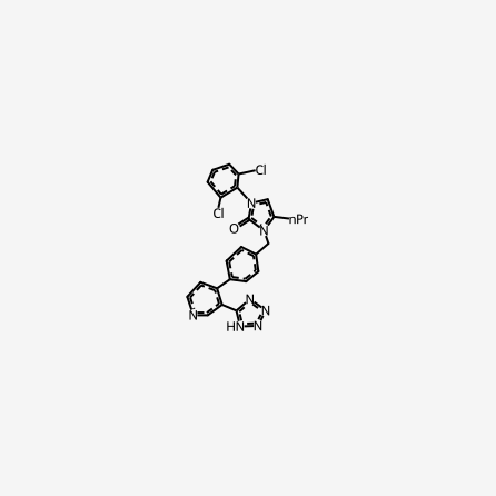 CCCc1cn(-c2c(Cl)cccc2Cl)c(=O)n1Cc1ccc(-c2ccncc2-c2nnn[nH]2)cc1